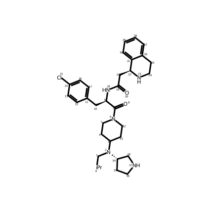 CC(C)CN(C1CCN(C(=O)[C@@H](Cc2ccc(Cl)cc2)NC(=O)C[C@@H]2NCCc3ccccc32)CC1)[C@H]1CCNC1